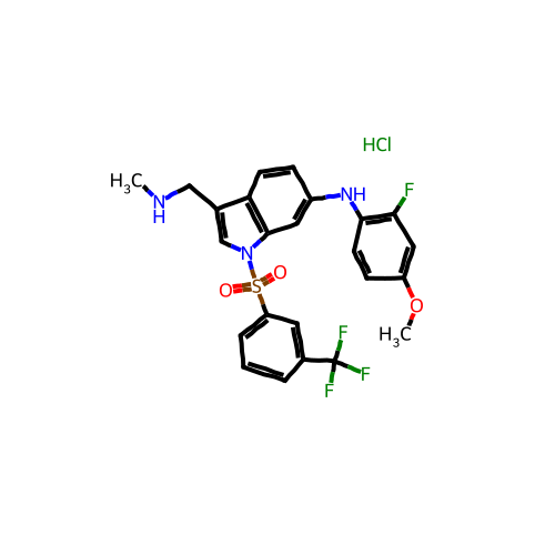 CNCc1cn(S(=O)(=O)c2cccc(C(F)(F)F)c2)c2cc(Nc3ccc(OC)cc3F)ccc12.Cl